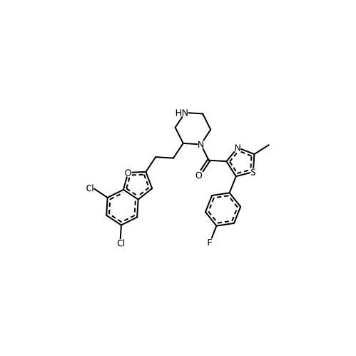 Cc1nc(C(=O)N2CCNCC2CCc2cc3cc(Cl)cc(Cl)c3o2)c(-c2ccc(F)cc2)s1